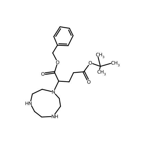 CC(C)(C)OC(=O)CCC(C(=O)OCc1ccccc1)N1CCNCCNCC1